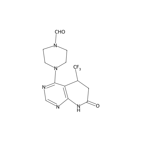 O=CN1CCN(c2ncnc3c2C(C(F)(F)F)CC(=O)N3)CC1